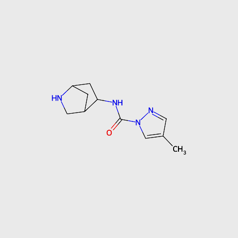 Cc1cnn(C(=O)NC2CC3CC2CN3)c1